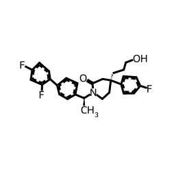 C[C@@H](c1ccc(-c2ccc(F)cc2F)cc1)N1CC[C@](CCCO)(c2ccc(F)cc2)CC1=O